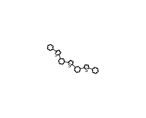 c1ccc(-c2ccc(-c3cccc(-c4ccc(-c5cccc(-c6ccc(-c7ccccc7)s6)c5)s4)c3)s2)cc1